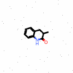 CC1Cc2c[c]ccc2NC1=O